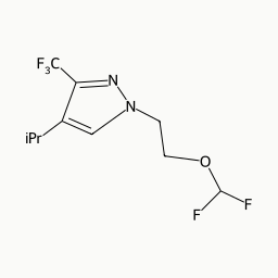 CC(C)c1cn(CCOC(F)F)nc1C(F)(F)F